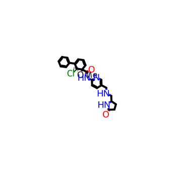 COC1(C(=O)Nc2ccc(CNCC3CCC(=O)N3)cn2)C=CC=C(c2ccccc2)[C@@H]1Cl